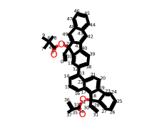 C=CC1(OC(=O)C(C)(C)C)c2cc(-c3cccc4c5c(ccc34)-c3ccccc3C5(C=C)OC(=O)C(=C)C)ccc2-c2cc3ccccc3cc21